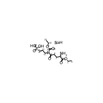 CCOC(=O)C(N)CCC(=O)N(CCSP(=O)(O)O)C(=O)OCC.[NaH]